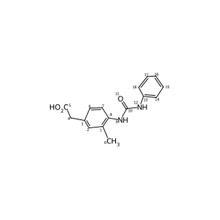 Cc1cc(CC(=O)O)ccc1NC(=O)Nc1ccccc1